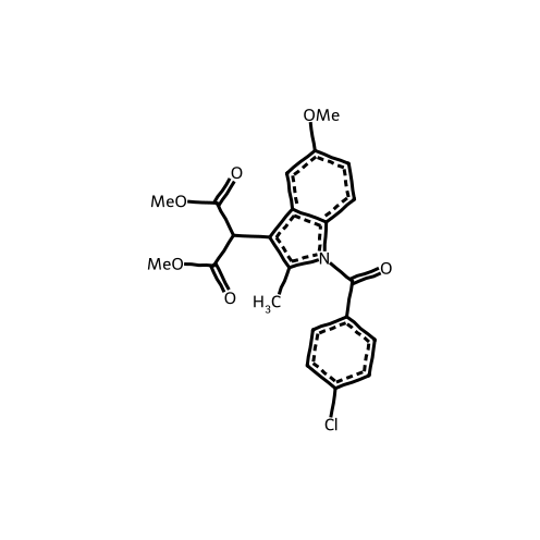 COC(=O)C(C(=O)OC)c1c(C)n(C(=O)c2ccc(Cl)cc2)c2ccc(OC)cc12